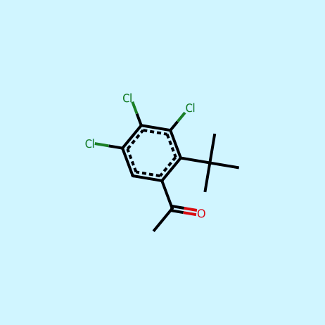 CC(=O)c1cc(Cl)c(Cl)c(Cl)c1C(C)(C)C